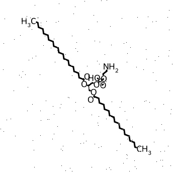 CCCCCCCCCCCCCCCCCCCC(=O)O[C@H](COC(=O)CCCCCCCCCCCCCCCCC)COP(=O)(O)OCCN